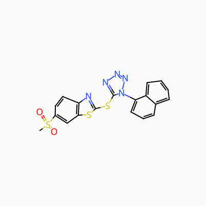 CS(=O)(=O)c1ccc2nc(Sc3nnnn3-c3cccc4ccccc34)sc2c1